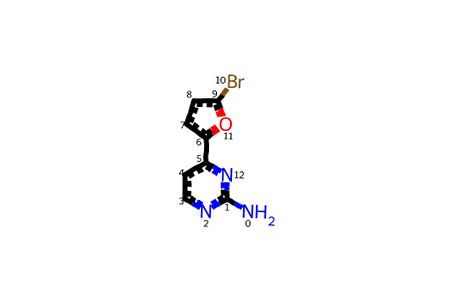 Nc1nccc(-c2ccc(Br)o2)n1